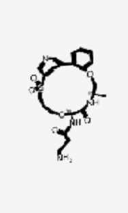 C[C@@H]1COc2ccccc2-c2cncc(c2)S(=O)(=O)CCCC[C@H](NC(=O)CCN)C(=O)N1